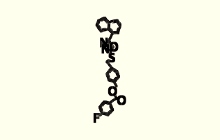 O=C(OCc1ccc(CSc2nnc(-c3cccc4ccccc34)o2)cc1)c1ccc(F)cc1